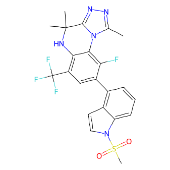 Cc1nnc2n1-c1c(F)c(-c3cccc4c3ccn4S(C)(=O)=O)cc(C(F)(F)F)c1NC2(C)C